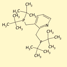 CC(C)(C)P(Cc1cccnc1CP(C(C)(C)C)C(C)(C)C)C(C)(C)C